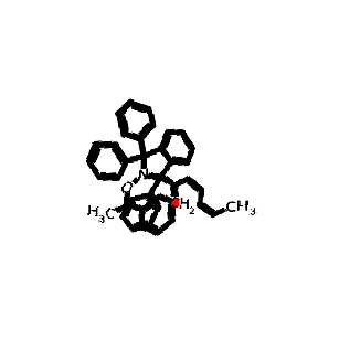 C=C(/C=C\C=C/C)C1(c2ccccc2)c2ccccc2C(c2ccccc2)(c2ccccc2)N1OC(C)c1ccccc1